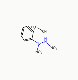 CC#N.O=[N+]([O-])NN(c1ccccc1)[N+](=O)[O-]